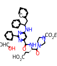 CCOC(=O)N1CCN(C(=O)[C@H](CCC(=O)O)NC(=O)c2cc(NC(Cc3ccccc3)c3ccccc3)nc(-c3ccccc3)n2)CC1.O=CO